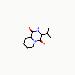 CC(C)C1NC(=O)C2CCCCN2C1=O